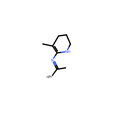 CCC/C(C)=N/C1=C(C)CCCN1